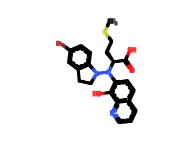 CSCC[C@@H](C(=O)O)N(c1ccc2cccnc2c1O)N1CCc2cc(Br)ccc21